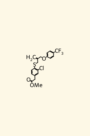 C=C(COc1ccc(C(F)(F)F)cc1)CSc1ccc(CC(=O)OC)cc1Cl